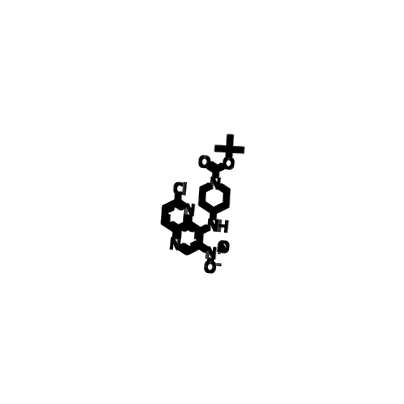 CC(C)(C)OC(=O)N1CCC(Nc2c([N+](=O)[O-])cnc3ccc(Cl)nc23)CC1